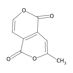 Cc1cc2c(=O)occc2c(=O)o1